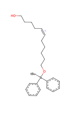 CC(C)(C)[Si](OCCCCC/C=C\CCCCO)(c1ccccc1)c1ccccc1